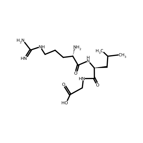 CC(C)C[C@H](NC(=O)[C@@H](N)CCCNC(=N)N)C(=O)NCC(=O)O